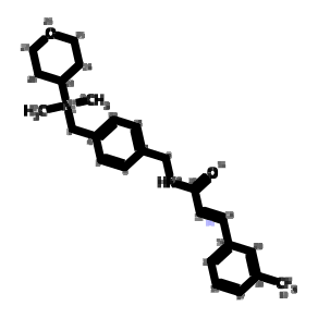 C[N+](C)(Cc1ccc(CNC(=O)/C=C/c2cccc(C(F)(F)F)c2)cc1)C1CCOCC1